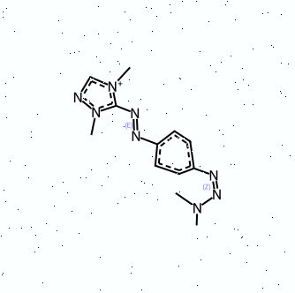 CN(C)/N=N\c1ccc(/N=N/c2n(C)nc[n+]2C)cc1